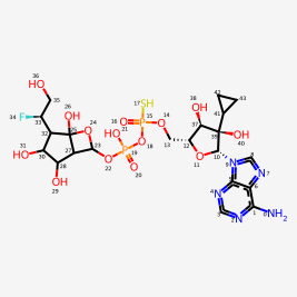 Nc1ncnc2c1ncn2[C@@H]1O[C@H](COP(=O)(S)OP(=O)(O)OC2OC3(O)C2C(O)C(O)C3[C@@H](F)CO)[C@@H](O)[C@]1(O)C1CC1